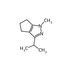 CC(C)c1nn(C)c2c1CCC2